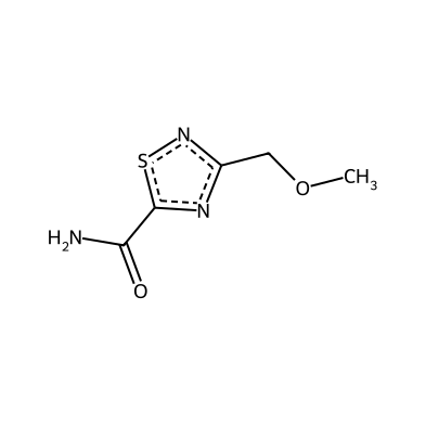 COCc1nsc(C(N)=O)n1